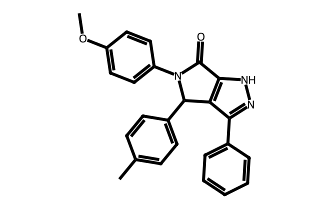 COc1ccc(N2C(=O)c3[nH]nc(-c4ccccc4)c3C2c2ccc(C)cc2)cc1